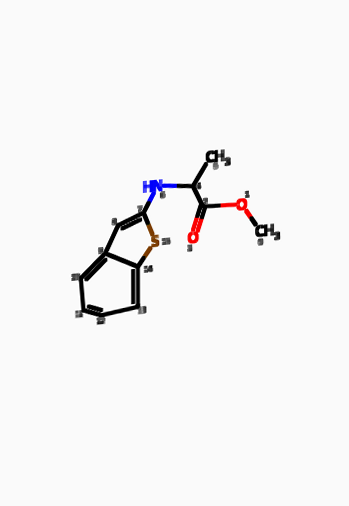 COC(=O)C(C)Nc1cc2ccccc2s1